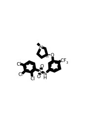 CN1CC[C@@H](Oc2cc(NS(=O)(=O)c3ccc(Cl)c(Cl)c3Cl)ccc2C(F)(F)F)C1